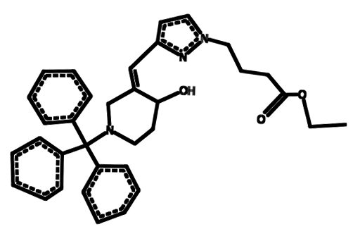 CCOC(=O)CCCn1ccc(C=C2CN(C(c3ccccc3)(c3ccccc3)c3ccccc3)CCC2O)n1